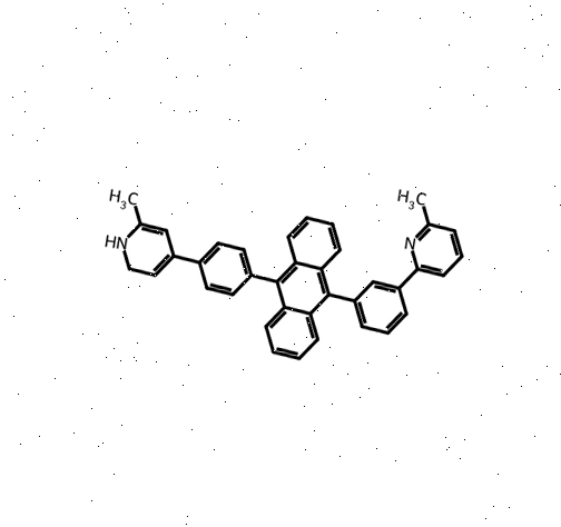 CC1=CC(c2ccc(-c3c4ccccc4c(-c4cccc(-c5cccc(C)n5)c4)c4ccccc34)cc2)=CCN1